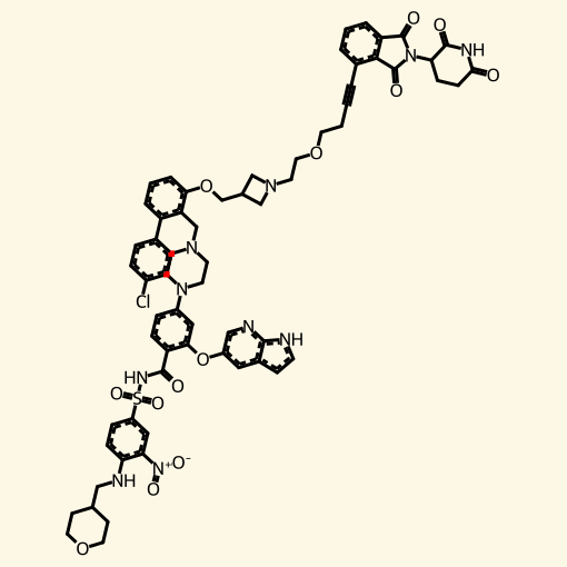 O=C1CCC(N2C(=O)c3cccc(C#CCCOCCN4CC(COc5cccc(-c6ccc(Cl)cc6)c5CN5CCN(c6ccc(C(=O)NS(=O)(=O)c7ccc(NCC8CCOCC8)c([N+](=O)[O-])c7)c(Oc7cnc8[nH]ccc8c7)c6)CC5)C4)c3C2=O)C(=O)N1